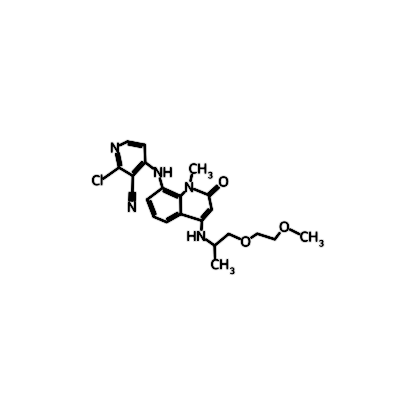 COCCOCC(C)Nc1cc(=O)n(C)c2c(Nc3ccnc(Cl)c3C#N)cccc12